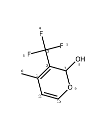 CC1=C(C(F)(F)F)C(O)OC=[C]1